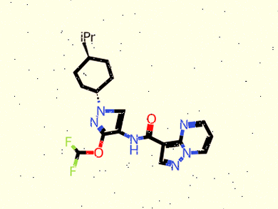 CC(C)[C@H]1CC[C@H](n2cc(NC(=O)c3cnn4cccnc34)c(OC(F)F)n2)CC1